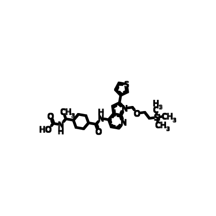 CC(NC(=O)O)C1CCC(C(=O)Nc2ccnc3c2cc(-c2ccsc2)n3COCC[Si](C)(C)C)CC1